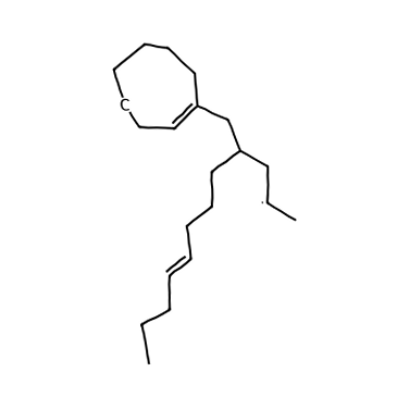 C[CH]CC(CCCC=CCCC)CC1=CCCCCCC1